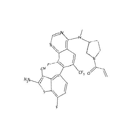 C=CC(=O)N1CCC(N(C)c2ncnc3c(F)c(-c4ccc(F)c5sc(N)c(C#N)c45)c(C(F)(F)F)cc23)C1